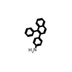 Nc1ccc(-c2ccc3ccccc3c2-c2ccccc2)cc1